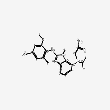 COc1cc(Br)cc(C)c1Nc1nc2cccc(N(CC(N)=O)C(C)C)c2n1C